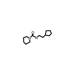 O=C([N]CCC1CCCC1)N1CCCCC1